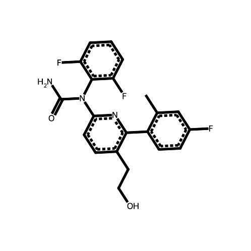 Cc1cc(F)ccc1-c1nc(N(C(N)=O)c2c(F)cccc2F)ccc1CCO